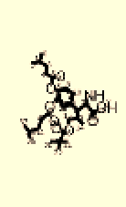 CC(C)CCC(=O)Oc1ccc(C(C(C)COC(=O)C(C)(C)C)[C@H](N)C(=O)O)cc1OC(=O)CCC(C)C